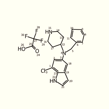 Clc1cc(N(Cc2ccccc2)C2CCNCC2)cc2cc[nH]c12.O=C(O)C(F)(F)F